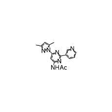 CC(=O)Nc1cc(-n2nc(C)cc2C)nc(-c2cccnc2)n1